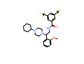 COc1ccccc1C(CNC(=O)c1cc(C(F)(F)F)cc(C(F)(F)F)c1)N1CCN(C2CCCCC2)CC1